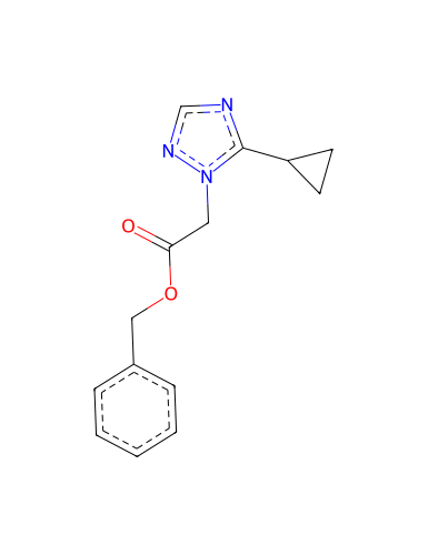 O=C(Cn1ncnc1C1CC1)OCc1ccccc1